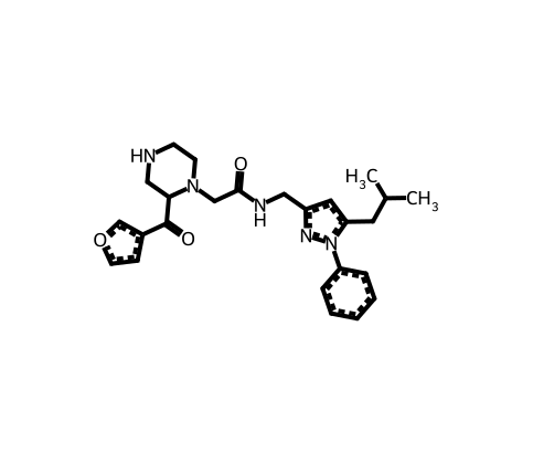 CC(C)Cc1cc(CNC(=O)CN2CCNCC2C(=O)c2ccoc2)nn1-c1ccccc1